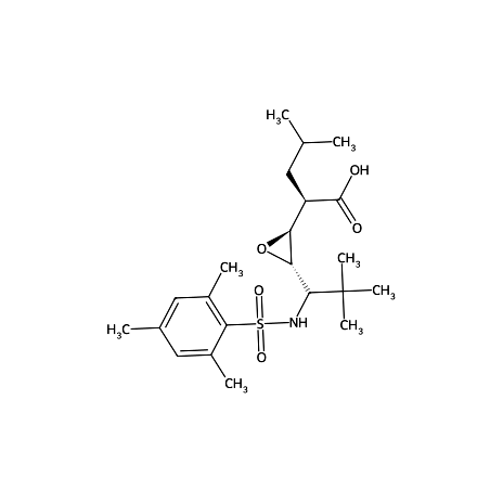 Cc1cc(C)c(S(=O)(=O)NC([C@@H]2O[C@H]2[C@@H](CC(C)C)C(=O)O)C(C)(C)C)c(C)c1